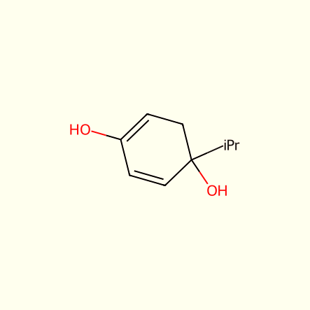 CC(C)C1(O)C=CC(O)=CC1